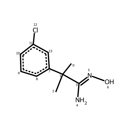 CC(C)(/C(N)=N/O)c1cccc(Cl)c1